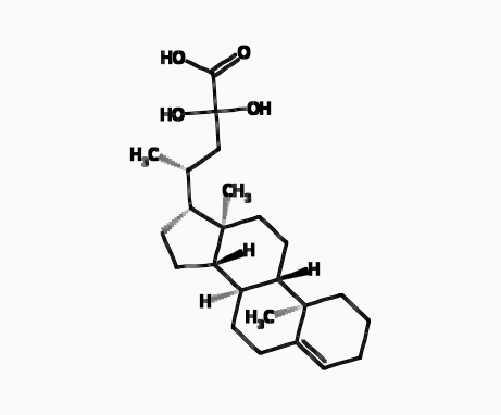 C[C@H](CC(O)(O)C(=O)O)[C@H]1CC[C@H]2[C@@H]3CCC4=CCCC[C@]4(C)[C@H]3CC[C@]12C